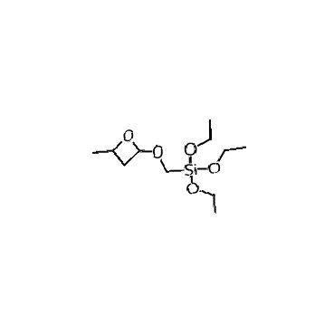 CCO[Si](COC1CC(C)O1)(OCC)OCC